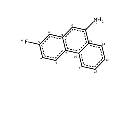 Nc1cc2cc(F)ccc2c2ccccc12